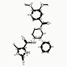 COc1cc(C(=O)N2CC[C@@H](NC(=O)c3[nH]c(=O)oc3C)[C@@H](c3ccccc3)C2)cnc1OC